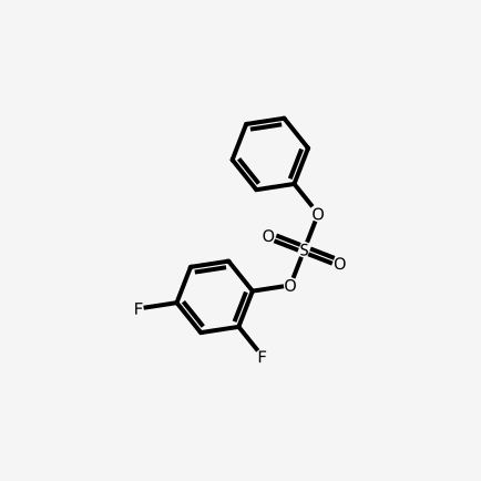 O=S(=O)(Oc1ccccc1)Oc1ccc(F)cc1F